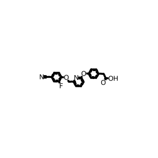 N#Cc1ccc(OCc2cccc(Oc3ccc(CC(=O)O)cc3)n2)c(F)c1